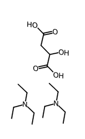 CCN(CC)CC.CCN(CC)CC.O=C(O)CC(O)C(=O)O